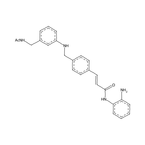 CC(=O)NCc1cccc(NCc2ccc(/C=C/C(=O)Nc3ccccc3N)cc2)c1